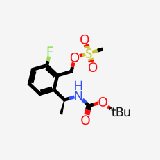 C[C@H](NC(=O)OC(C)(C)C)c1cccc(F)c1COS(C)(=O)=O